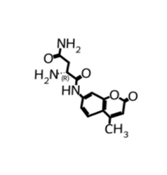 Cc1cc(=O)oc2cc(NC(=O)[C@H](N)CC(N)=O)ccc12